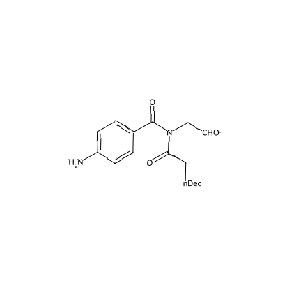 CCCCCCCCCCCC(=O)N(C[C]=O)C(=O)c1ccc(N)cc1